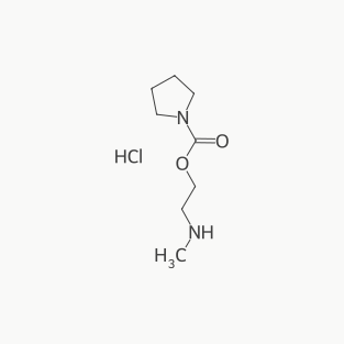 CNCCOC(=O)N1CCCC1.Cl